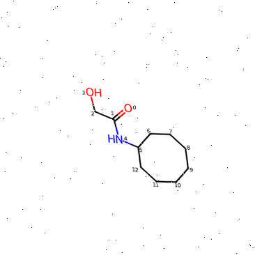 O=C(CO)NC1CCCCCCC1